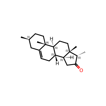 C[C@H]1CC[C@@]2(C)C(=CC[C@H]3[C@@H]4CC(=O)[C@@H](C)[C@@]4(C)CC[C@@H]32)C1